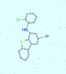 Clc1ccccc1Nc1cc(Br)cc2c1sc1ccccc12